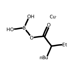 CCCCC(CC)C(=O)OB(O)O.[Cu]